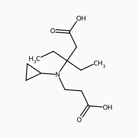 CCC(CC)(CC(=O)O)N(CCC(=O)O)C1CC1